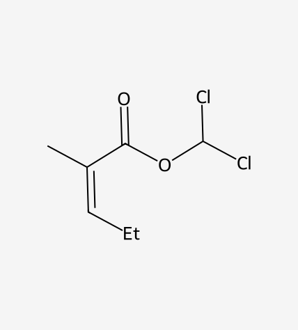 CCC=C(C)C(=O)OC(Cl)Cl